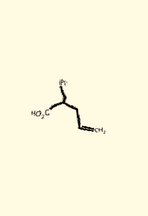 C=CCC([C](C)C)C(=O)O